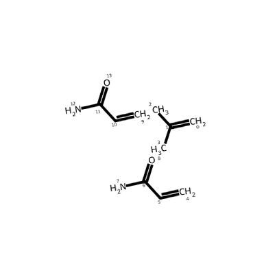 C=C(C)C.C=CC(N)=O.C=CC(N)=O